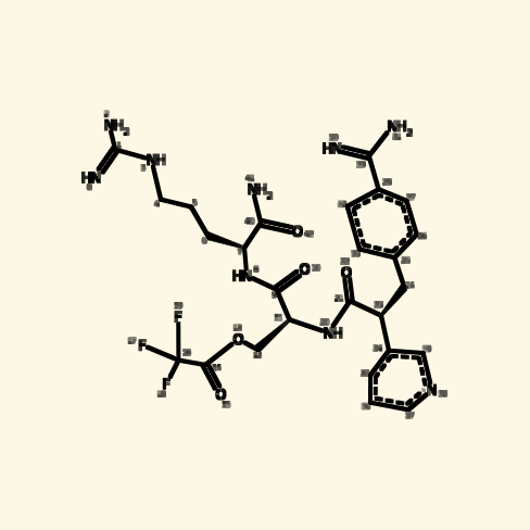 N=C(N)NCCC[C@H](NC(=O)[C@H](COC(=O)C(F)(F)F)NC(=O)[C@@H](Cc1ccc(C(=N)N)cc1)c1cccnc1)C(N)=O